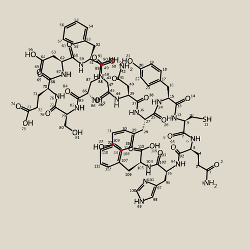 NC(=O)CC[C@H](NC(=O)[C@H](CS)NC(=O)[C@H](Cc1ccc(O)cc1)NC(=O)[C@H](Cc1ccc(O)cc1)NC(=O)[C@H](CC(N)=O)NC(=O)CNC(=O)[C@H](Cc1ccccc1)NC(=O)[C@H](CC(=O)O)NC(=O)[C@H](CCC(=O)O)NC(=O)[C@H](CO)NC(=O)[C@@H](N)CCC(N)=O)C(=O)N[C@@H](Cc1c[nH]cn1)C(=O)N[C@@H](Cc1ccccc1)C(=O)O